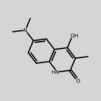 Cc1c(O)c2cc(N(C)C)ccc2[nH]c1=O